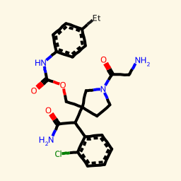 CCc1ccc(NC(=O)OCC2(C(C(N)=O)c3ccccc3Cl)CCN(C(=O)CN)C2)cc1